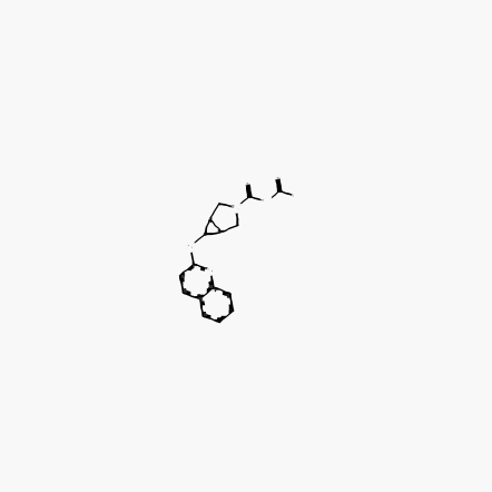 C=C(C)OC(=O)N1CC2C(C1)C2Nc1ccc2ccccc2n1